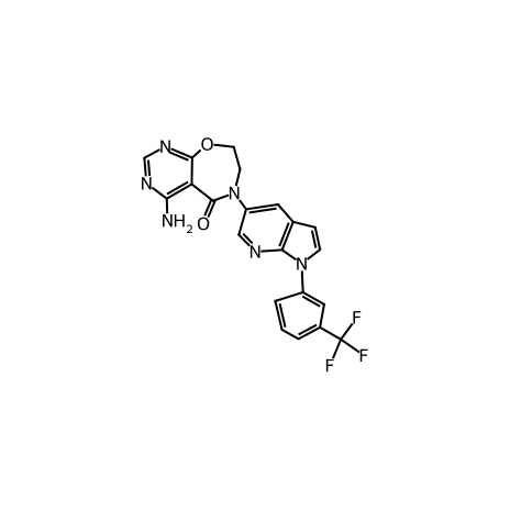 Nc1ncnc2c1C(=O)N(c1cnc3c(ccn3-c3cccc(C(F)(F)F)c3)c1)CCO2